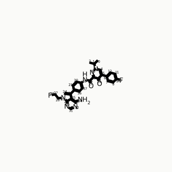 CC(C)n1cc(-c2ccc(F)cc2)c(=O)c(C(=O)Nc2ccc(-c3cn(CCF)c4ncnc(N)c34)cc2)n1